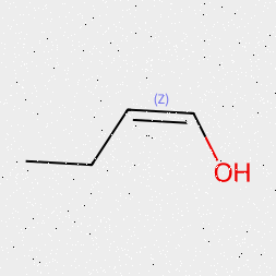 CC/C=C\O